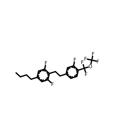 CCCCc1cc(F)c(CCc2ccc(C(F)(F)OC(F)(F)F)c(F)c2)c(F)c1